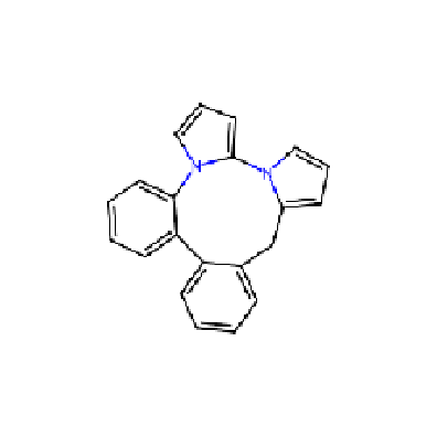 c1ccc2c(c1)Cc1cccn1-c1cccn1-c1ccccc1-2